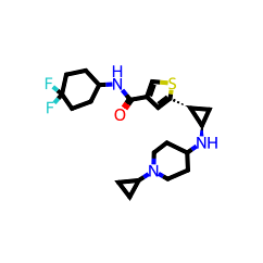 O=C(NC1CCC(F)(F)CC1)c1csc([C@@H]2C[C@H]2NC2CCN(C3CC3)CC2)c1